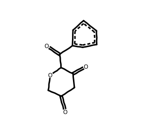 O=C1COC(C(=O)c2ccccc2)C(=O)C1